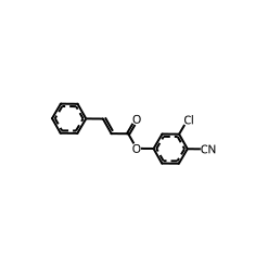 N#Cc1ccc(OC(=O)/C=C/c2ccccc2)cc1Cl